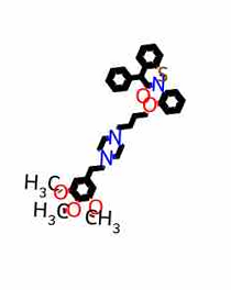 COc1cc(CCN2CCN(CCCCOc3ccccc3N3Sc4ccccc4C(c4ccccc4)C3=O)CC2)cc(OC)c1OC